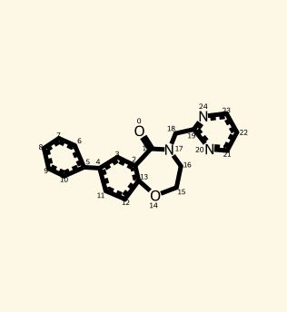 O=C1c2cc(-c3ccccc3)ccc2OCCN1Cc1ncccn1